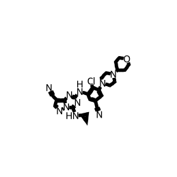 N#Cc1cc(Nc2nc(NC3CC3)n3ncc(C#N)c3n2)c(Cl)c(N2CCN(C3CCOCC3)CC2)c1